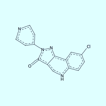 O=c1c2c[nH]c3ccc(Cl)cc3c-2nn1-c1ccncc1